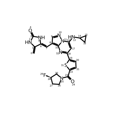 C=c1[nH]c(=O)[nH]/c1=C\c1cnn2c(NC3CC3)cc(-c3ccc(C(=O)N4CC[C@@H](F)C4)s3)nc12